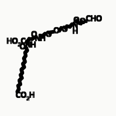 O=CCOCC(=O)NCCCOCCOCCOCCCNC(=O)CCC(NC(=O)CCCCCCCCCCCCCCCCC(=O)O)C(=O)O